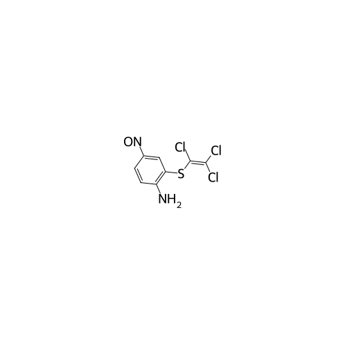 Nc1ccc(N=O)cc1SC(Cl)=C(Cl)Cl